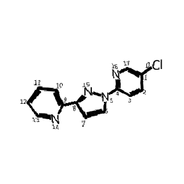 Clc1ccc(-n2ccc(-c3ccccn3)n2)nc1